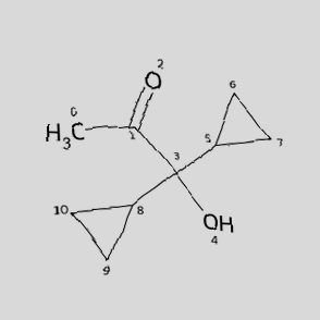 CC(=O)C(O)(C1CC1)C1CC1